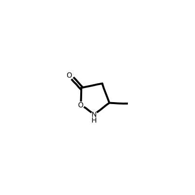 CC1CC(=O)ON1